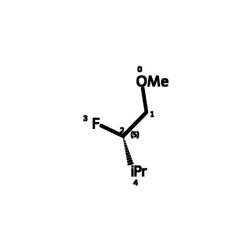 COC[C@@H](F)C(C)C